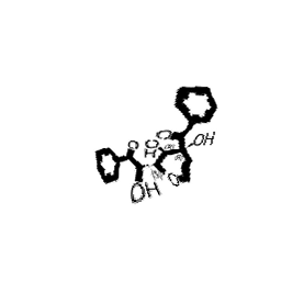 O=C(c1ccccc1)C(O)[C@H]1OC=C[C@](O)(C(=O)c2ccccc2)[C@@H]1O